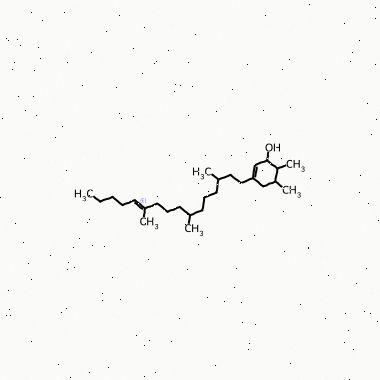 CCCC/C=C(\C)CCCC(C)CCCC(C)CCC1=CC(O)C(C)C(C)C1